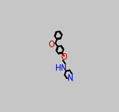 CN1CCC(NCCOc2ccc(C(=O)c3ccccc3)cc2)CC1